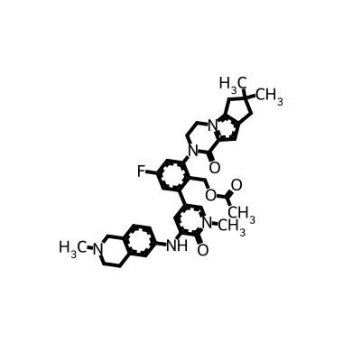 CC(=O)OCc1c(-c2cc(Nc3ccc4c(c3)CCN(C)C4)c(=O)n(C)c2)cc(F)cc1N1CCn2c(cc3c2CC(C)(C)C3)C1=O